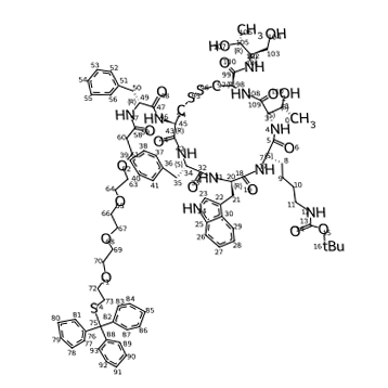 C[C@@H](O)[C@@H]1NC(=O)[C@H](CCCCNC(=O)OC(C)(C)C)NC(=O)[C@@H](Cc2c[nH]c3ccccc23)NC(=O)[C@H](Cc2ccccc2)NC(=O)[C@@H](NC(=O)[C@@H](Cc2ccccc2)NC(=O)CCOCCOCCOCCOCCSC(c2ccccc2)(c2ccccc2)c2ccccc2)CSSC[C@@H](C(=O)N[C@H](CO)[C@@H](C)O)NC1=O